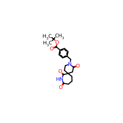 CC(C)(C)OC(=O)c1ccc(CN2CCC3(CCCC(=O)NC3=O)CC2=O)cc1